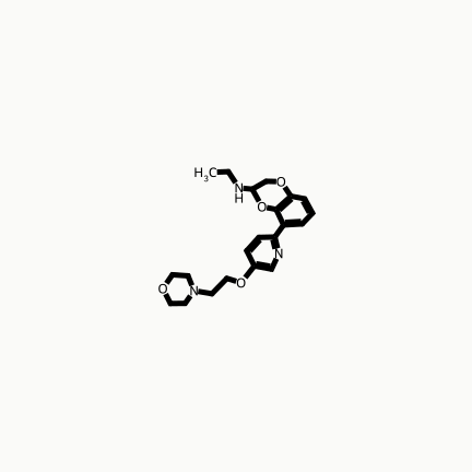 CCNC1COc2cccc(-c3ccc(OCCN4CCOCC4)cn3)c2O1